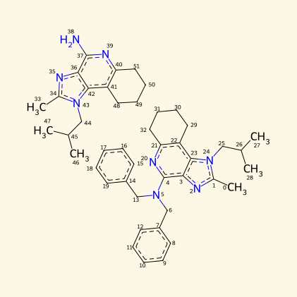 Cc1nc2c(N(Cc3ccccc3)Cc3ccccc3)nc3c(c2n1CC(C)C)CCCC3.Cc1nc2c(N)nc3c(c2n1CC(C)C)CCCC3